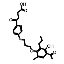 CCCc1c(O)c(C(C)=O)cc(C)c1OCCCSc1ccc(C(=O)CCC(=O)O)cc1